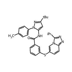 Cc1ccc(-n2nc(C(C)(C)C)cc2NC(=O)c2cccc(Sc3ccc4nnc(C(C)C)n4c3)c2)cc1